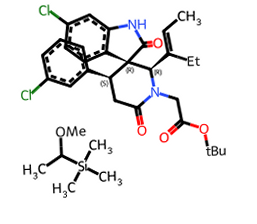 CC=C(CC)[C@H]1N(CC(=O)OC(C)(C)C)C(=O)C[C@@H](c2cccc(Cl)c2)[C@]12C(=O)Nc1cc(Cl)ccc12.COC(C)[Si](C)(C)C